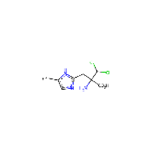 CCCc1cnc(CC(N)(C(=O)O)C(Cl)Cl)[nH]1